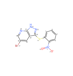 O=[N+]([O-])c1ccccc1Sc1n[nH]c2ncc(Br)cc12